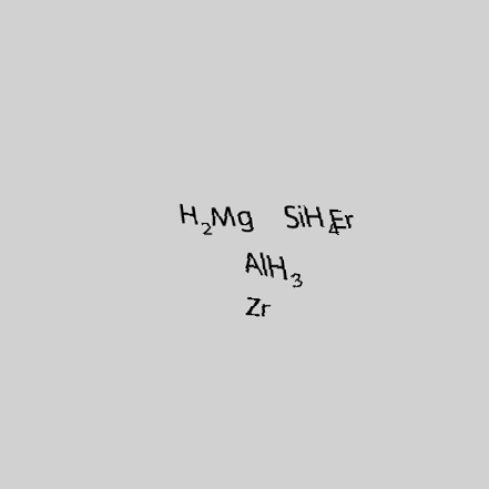 [AlH3].[Er].[MgH2].[SiH4].[Zr]